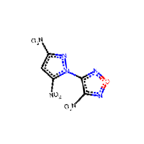 O=[N+]([O-])c1cc([N+](=O)[O-])n(-c2nonc2[N+](=O)[O-])n1